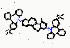 Cc1cc(N2c3ccccc3-c3ccccc3-c3cc([Si](C)(C)C)ccc32)cc2ccc3c4ccc(N5c6ccccc6-c6ccccc6-c6cc([Si](C)(C)C)ccc65)cc4ccc3c12